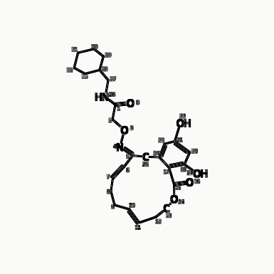 O=C(CON=C1/C=C/CC/C=C/CCOC(=O)c2c(O)cc(O)cc2C1)NCC1CCCCC1